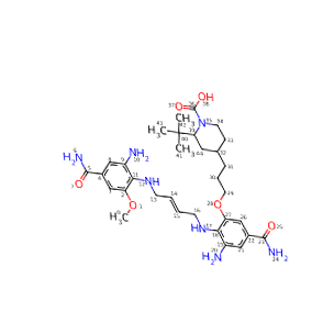 COc1cc(C(N)=O)cc(N)c1NCC=CCNc1c(N)cc(C(N)=O)cc1OCCCC1CCN(C(=O)O)C(C(C)(C)C)C1